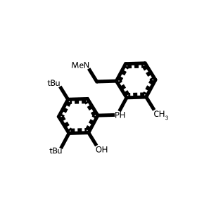 CNCc1cccc(C)c1Pc1cc(C(C)(C)C)cc(C(C)(C)C)c1O